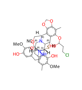 COc1cc2c(cc1O)CCN[C@]21CS[C@@H]2c3c(OC(O)CCCl)c(C)c4c(c3[C@H](COC1=O)N1C2[C@@H]2c3c(cc(C)c(OC)c3O)C[C@@H]([C@@H]1C#N)N2C)OCO4